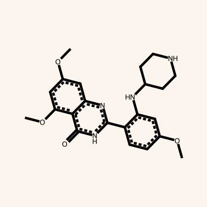 COc1ccc(-c2nc3cc(OC)cc(OC)c3c(=O)[nH]2)c(NC2CCNCC2)c1